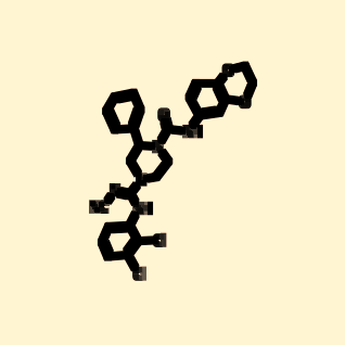 N#C/N=C(\Nc1cccc(Cl)c1Cl)N1CCN(C(=O)Nc2ccc3c(c2)OCCO3)C(c2ccccc2)C1